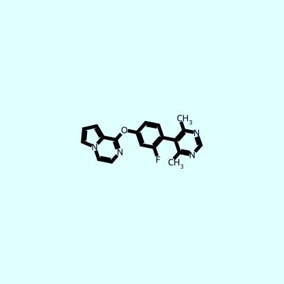 Cc1ncnc(C)c1-c1ccc(Oc2nccn3cccc23)cc1F